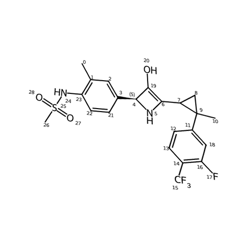 Cc1cc([C@@H]2NC(C3CC3(C)c3ccc(C(F)(F)F)c(F)c3)=C2O)ccc1NS(C)(=O)=O